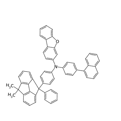 CC1(C)c2cccc3c2-c2c1cccc2C3(c1ccccc1)c1ccc(N(c2ccc(-c3cccc4ccccc34)cc2)c2ccc3c(c2)oc2ccccc23)cc1